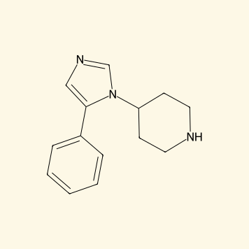 c1ccc(-c2cncn2C2CCNCC2)cc1